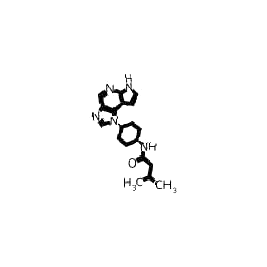 CC(C)CC(=O)N[C@H]1CC[C@H](n2cnc3cnc4[nH]ccc4c32)CC1